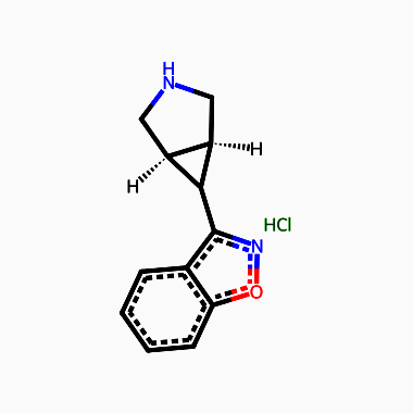 Cl.c1ccc2c(C3[C@H]4CNC[C@@H]34)noc2c1